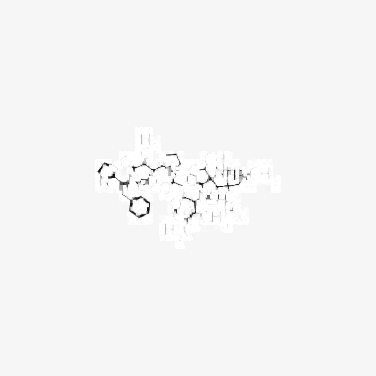 CC[C@H](C)[C@@H]([C@@H](CC(=O)N1CCC[C@H]1[C@H](OC)[C@@H](C)C(=O)N[C@@H](Cc1ccccc1)c1nccs1)OC)N(C)C(=O)[C@](N)(C(=O)C(C)(C)CNC)C(C)C